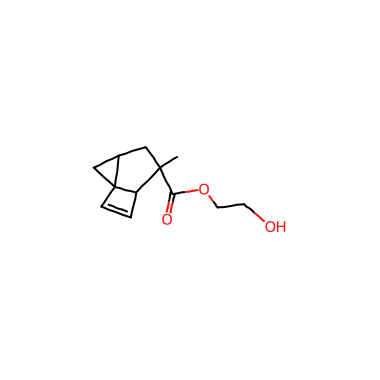 CC1(C(=O)OCCO)CC2CC23C=CC13